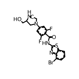 O=C(Nc1nc2c(Br)cccc2s1)c1c(F)cc(N2CCNC(CO)C2)cc1F